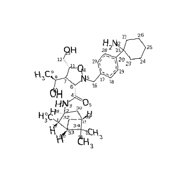 C[C@@H]1[C@@H](NC(=O)[C@@H]2C([C@H](C)O)[C@H](CO)ON2Cc2ccc(C3(N)CCCCC3)cc2)C[C@H]2C[C@@H]1C2(C)C